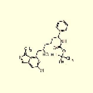 Cn1ncc2cc(Cl)nc(CC(O)CCCC(NC(=O)OC(C)(C)C)c3ccccc3)c21